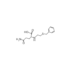 NC(=O)CCC(NCCSCc1ccccc1)C(=O)O